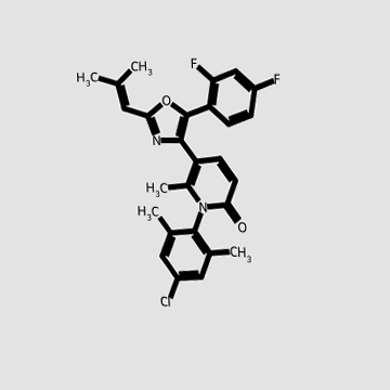 CC(C)=Cc1nc(-c2ccc(=O)n(-c3c(C)cc(Cl)cc3C)c2C)c(-c2ccc(F)cc2F)o1